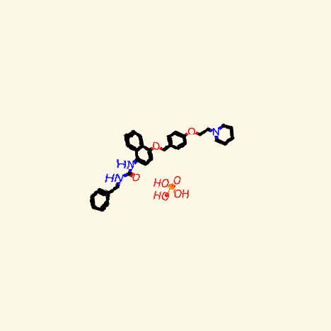 O=C(NCc1ccccc1)Nc1ccc(OCc2ccc(OCCN3CCCCC3)cc2)c2ccccc12.O=P(O)(O)O